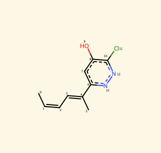 C/C=C\C=C(/C)c1cc(O)c(Cl)nn1